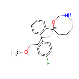 COCCCC[C@@]1(c2ccccc2-c2ccc(F)cc2)CCCCNCO1